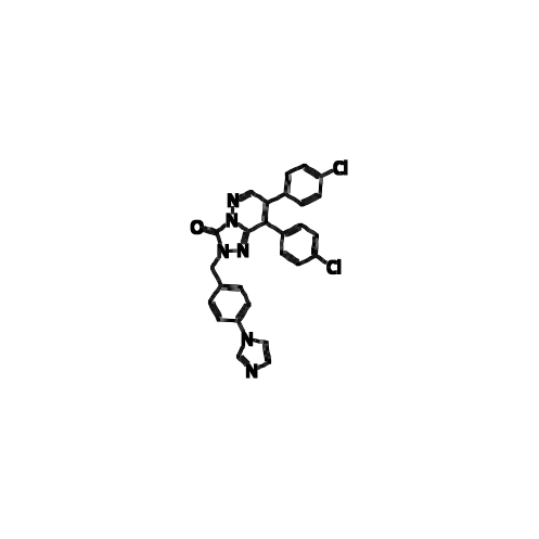 O=c1n(Cc2ccc(-n3ccnc3)cc2)nc2c(-c3ccc(Cl)cc3)c(-c3ccc(Cl)cc3)cnn12